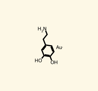 NCCc1ccc(O)c(O)c1.[Au]